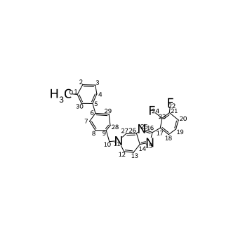 Cc1cccc(-c2ccc(Cn3ccc4nc(-c5cccc(F)c5F)nc-4c3)cc2)c1